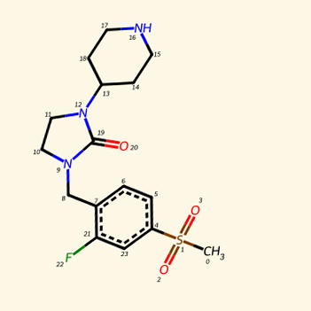 CS(=O)(=O)c1ccc(CN2CCN(C3CCNCC3)C2=O)c(F)c1